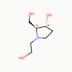 OCCN1CC[C@@H](O)[C@@H]1CO